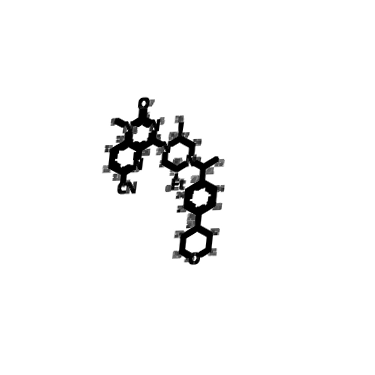 CC[C@@H]1CN(c2nc(=O)n(C)c3ccc(C#N)nc23)[C@@H](C)CN1C(C)c1ccc(C2CCOCC2)cc1